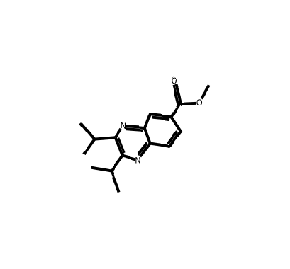 COC(=O)c1ccc2nc(C(C)C)c(C(C)C)nc2c1